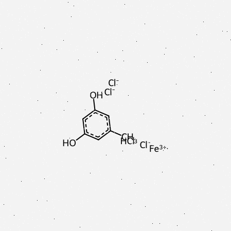 Cc1cc(O)cc(O)c1.Cl.[Cl-].[Cl-].[Cl-].[Fe+3]